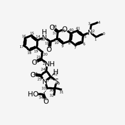 CCN(CC)c1ccc2cc(C(=O)Nc3ccccc3CC(=O)NC3C(=O)N4[C@@H]3SC(C)(C)[C@@H]4C(=O)O)c(=O)oc2c1